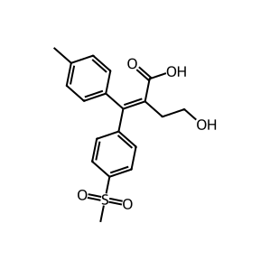 Cc1ccc(C(=C(CCO)C(=O)O)c2ccc(S(C)(=O)=O)cc2)cc1